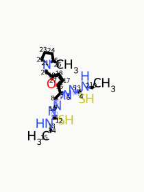 CCN/C(S)=N/N=C(/C=N/N=C(\S)NCC)c1ccc(CN2CCCC2C)o1